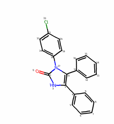 O=c1[nH]c(-c2ccccc2)c(-c2ccccc2)n1-c1ccc(Cl)cc1